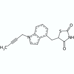 CC#CCn1ccc2c(CC3SC(=O)NC3=O)cccc21